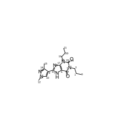 CCCn1c(=O)c2[nH]c(-c3cn(C)nc3C)nc2n(CCC)c1=O